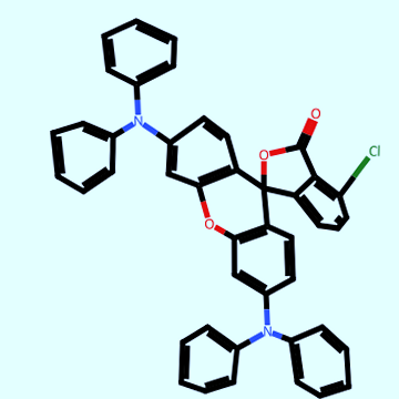 O=C1OC2(c3ccc(N(c4ccccc4)c4ccccc4)cc3Oc3cc(N(c4ccccc4)c4ccccc4)ccc32)c2cccc(Cl)c21